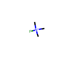 C[N+](C)(C)F